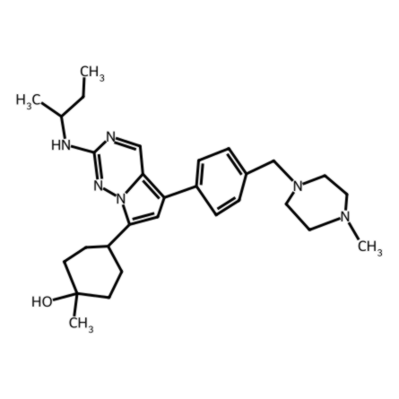 CCC(C)Nc1ncc2c(-c3ccc(CN4CCN(C)CC4)cc3)cc(C3CCC(C)(O)CC3)n2n1